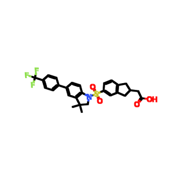 CC1(C)CN(S(=O)(=O)c2ccc3c(c2)CC(CC(=O)O)C3)c2ccc(-c3ccc(C(F)(F)F)cc3)cc21